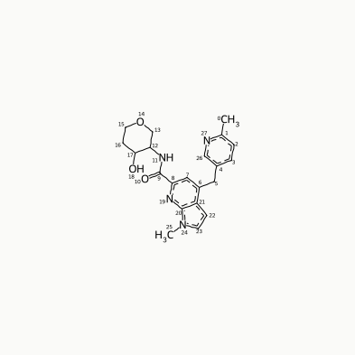 Cc1ccc(Cc2cc(C(=O)NC3COCCC3O)nc3c2ccn3C)cn1